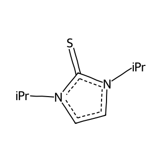 CC(C)n1ccn(C(C)C)c1=S